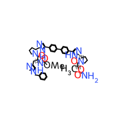 COC(=O)N[C@@H](Cc1cn(Cc2ccccc2)cn1)C(=O)N1CCCC1c1ncc(-c2ccc(-c3ccc(-c4cnc([C@@H]5CCCN5C(=O)[C@H](C)OC(N)=O)[nH]4)cc3)cc2)[nH]1